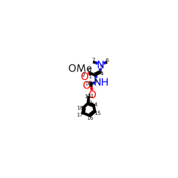 COC(=O)/C(=C\N(C)C)NC(=O)OCc1ccccc1